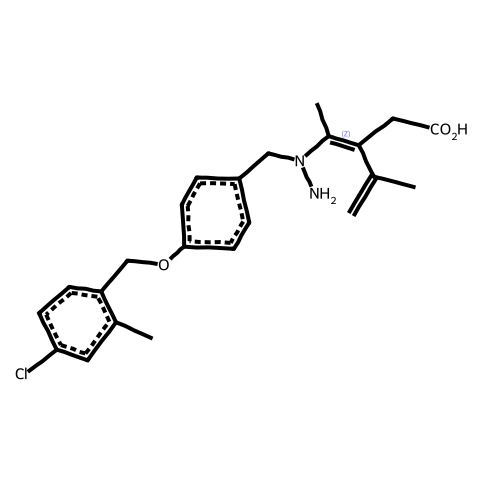 C=C(C)/C(CC(=O)O)=C(/C)N(N)Cc1ccc(OCc2ccc(Cl)cc2C)cc1